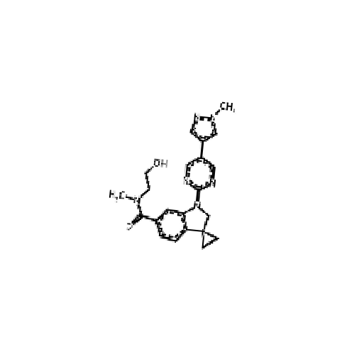 CN(CCO)C(=O)c1ccc2c(c1)N(c1ncc(-c3cnn(C)c3)cn1)CC21CC1